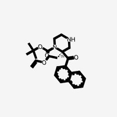 C=COCC[C@@]1(C(=O)c2cccc3ccccc23)CNCCN1C(=O)OC(C)(C)C